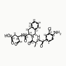 CC(NC(=O)c1ccc(N)c(Cl)c1)C(=O)N1Cc2ccccc2CC1C(=O)NC(C=O)CC(=O)O